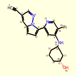 C#Cc1cnn2c(-c3cc(N[C@H]4CCC[C@@H](O)C4)c(C(C)C)cn3)ccc2c1